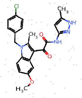 COc1ccc2c(c1)c(C(=O)C(=O)Nc1cc(C)[nH]n1)c(C)n2Cc1ccc(Cl)cc1